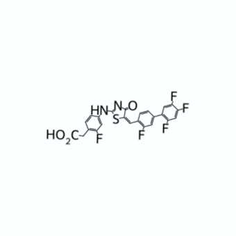 O=C(O)Cc1ccc(NC2=NC(=O)/C(=C\c3ccc(-c4cc(F)c(F)cc4F)cc3F)S2)cc1F